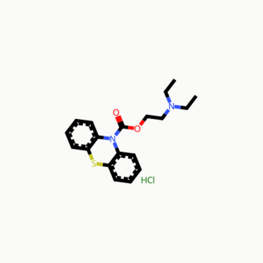 CCN(CC)CCOC(=O)N1c2ccccc2Sc2ccccc21.Cl